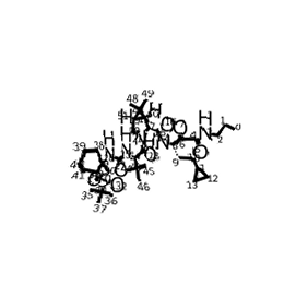 CCCNC(=O)C(=O)[C@H](CCC1CC1)NC(=O)[C@@H]1[C@@H]2[C@H](CN1C(=O)[C@@H](NC(=O)NC1(CS(=O)(=O)C(C)(C)C)CCCCC1)C(C)(C)C)C2(C)C